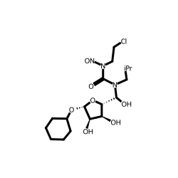 CC(C)CN(C(=O)N(CCCl)N=O)C(O)[C@H]1O[C@@H](OC2CCCCC2)[C@H](O)[C@@H]1O